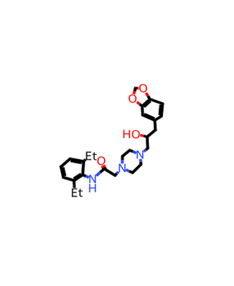 CCc1cccc(CC)c1NC(=O)CN1CCN(CC(O)Cc2ccc3c(c2)OCO3)CC1